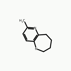 Cc1ccc2c(n1)CCCC[N]2